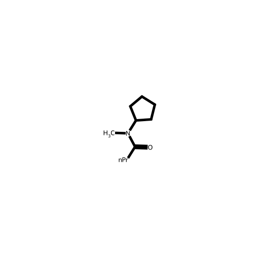 CCCC(=O)N(C)C1CCCC1